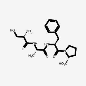 C[C@H](NC(=O)[C@@H](N)CO)C(=O)N[C@@H](Cc1ccccc1)C(=O)N1CCC[C@@H]1C(=O)O